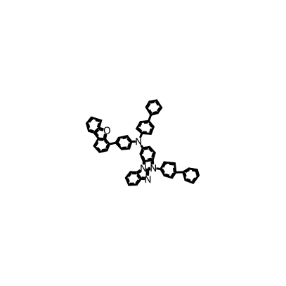 c1ccc(-c2ccc(N(c3ccc(-c4cccc5c4oc4ccccc45)cc3)c3ccc4c(c3)n3c5ccccc5nc3n4-c3ccc(-c4ccccc4)cc3)cc2)cc1